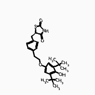 CC(C)(C)c1cc(OCCc2ccc(C[C@H]3SC(=O)NC3=O)cc2)cc(C(C)(C)C)c1O